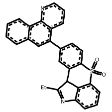 CCC1=Nc2cccc3c2C1c1cc(-c2cc4ccccc4c4ncccc24)ccc1S3(=O)=O